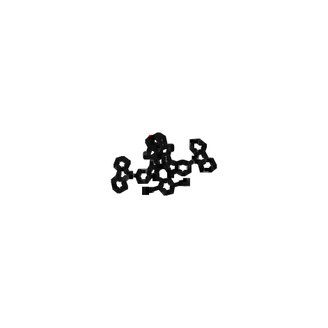 N#Cc1ccc(C#N)c(-n2c3ccc(-n4c5ccccc5c5ccccc54)cc3c3c4oc5ccccc5c4ccc32)c1-n1c2ccc(-n3c4ccccc4c4ccccc43)cc2c2c3oc4ccccc4c3ccc21